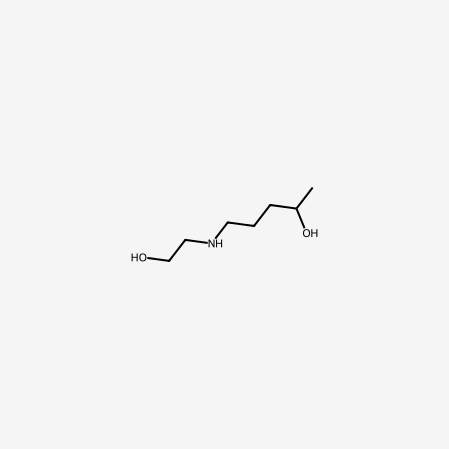 CC(O)CCCNCCO